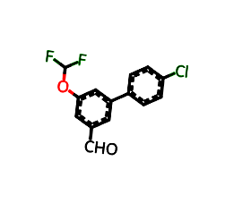 O=Cc1cc(OC(F)F)cc(-c2ccc(Cl)cc2)c1